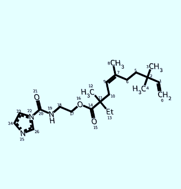 C=CC(C)(C)CCC(C)=CCC(C)(CC)C(=O)OCCNC(=O)n1ccnc1